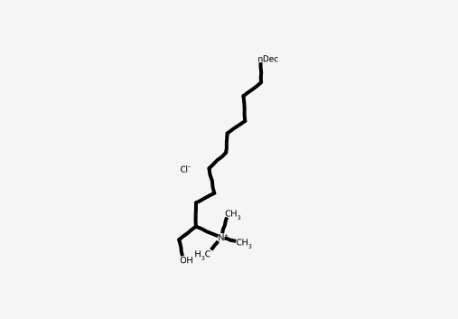 CCCCCCCCCCCCCCCCCCC(CO)[N+](C)(C)C.[Cl-]